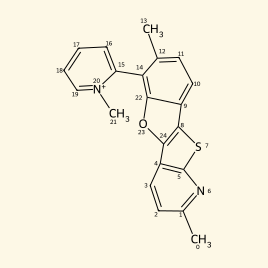 Cc1ccc2c(n1)sc1c3ccc(C)c(-c4cccc[n+]4C)c3oc21